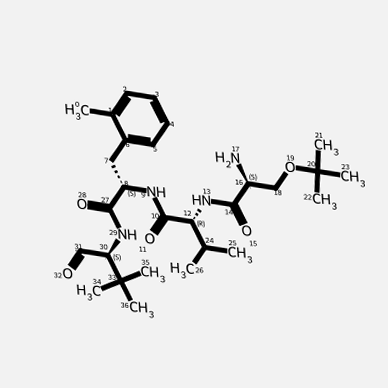 Cc1ccccc1C[C@H](NC(=O)[C@H](NC(=O)[C@@H](N)COC(C)(C)C)C(C)C)C(=O)N[C@H]([C]=O)C(C)(C)C